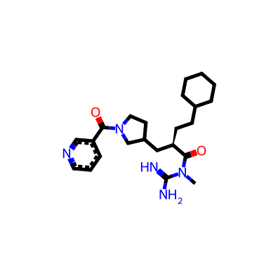 CN(C(=N)N)C(=O)[C@H](CCC1CCCCC1)CC1CCN(C(=O)c2cccnc2)C1